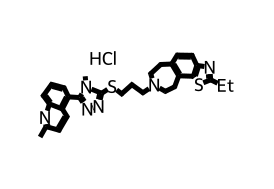 CCc1nc2ccc3c(c2s1)CCN(CCCSc1nnc(-c2cccc4nc(C)ccc24)n1C)CC3.Cl